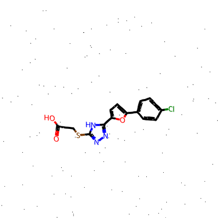 O=C(O)CSc1nnc(-c2ccc(-c3ccc(Cl)cc3)o2)[nH]1